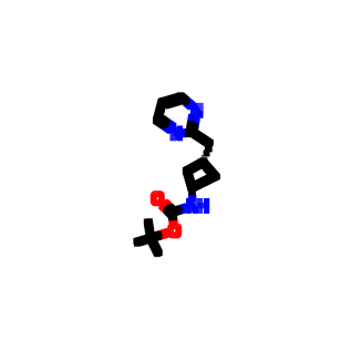 CC(C)(C)OC(=O)N[C@H]1C[C@H](Cc2ncccn2)C1